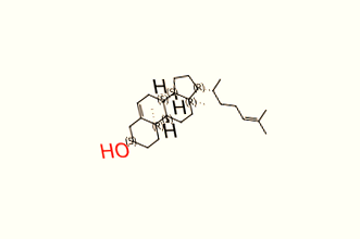 CC(C)=CCCC(C)[C@H]1CC[C@H]2[C@@H]3CC=C4C[C@@H](O)CC[C@]4(C)[C@H]3CC[C@]12C